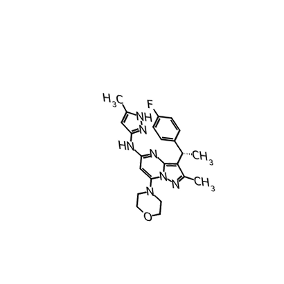 Cc1cc(Nc2cc(N3CCOCC3)n3nc(C)c([C@@H](C)c4ccc(F)cc4)c3n2)n[nH]1